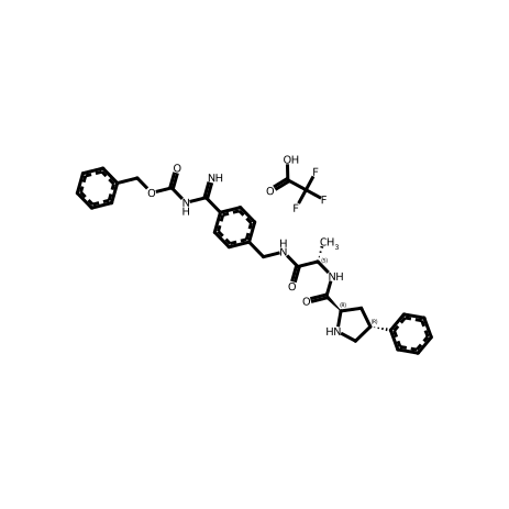 C[C@H](NC(=O)[C@H]1C[C@H](c2ccccc2)CN1)C(=O)NCc1ccc(C(=N)NC(=O)OCc2ccccc2)cc1.O=C(O)C(F)(F)F